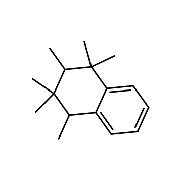 CC1c2ccccc2C(C)(C)C(C)C1(C)C